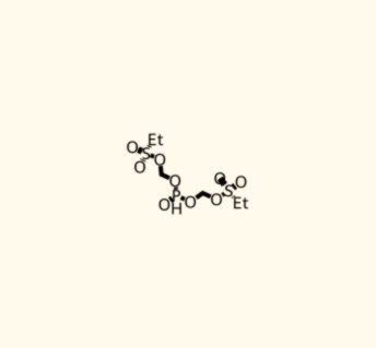 CCS(=O)(=O)OCO[PH](=O)OCOS(=O)(=O)CC